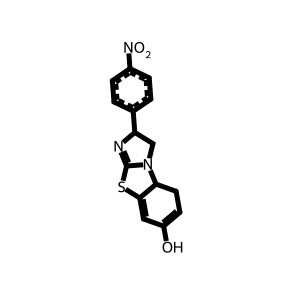 O=[N+]([O-])c1ccc(C2CN3C(=N2)SC2=CC(O)=CCC23)cc1